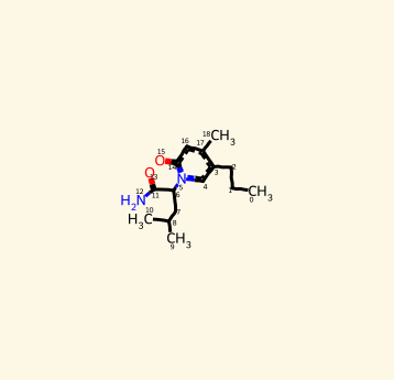 CCCc1cn(C(CC(C)C)C(N)=O)c(=O)cc1C